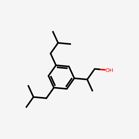 C[C](CO)c1cc(CC(C)C)cc(CC(C)C)c1